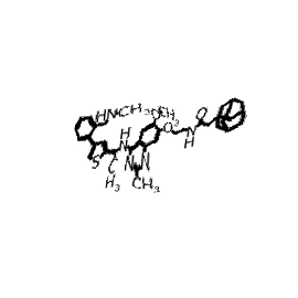 CNCc1ccccc1-c1csc([C@H](C)Nc2nc(C)nc3cc(OCCNC(=O)CC45CC6CC(CC(C6)C4)C5)c(OC)cc23)c1